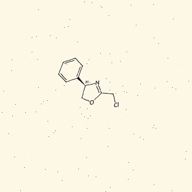 ClCC1=N[C@H](c2ccccc2)CO1